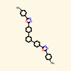 CC(C)(C)c1ccc(-c2nnc(-c3ccc(-c4cccc(-c5ccc(-c6nnc(-c7ccc(C(C)(C)C)cc7)o6)cc5)c4)cc3)o2)cc1